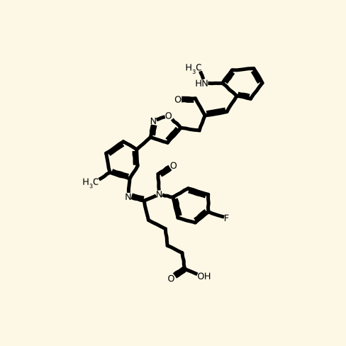 CNc1ccccc1/C=C(\C=O)Cc1cc(-c2ccc(C)c(/N=C(/CCCCC(=O)O)N(C=O)c3ccc(F)cc3)c2)no1